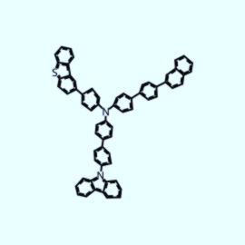 c1ccc2cc(-c3ccc(-c4ccc(N(c5ccc(-c6ccc(-n7c8ccccc8c8ccccc87)cc6)cc5)c5ccc(-c6ccc7sc8ccccc8c7c6)cc5)cc4)cc3)ccc2c1